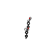 Cc1ccc(-c2ccc(C(=O)Oc3ccc(C4CCC(OCC5CO5)CC4)cc3)cc2)cc1